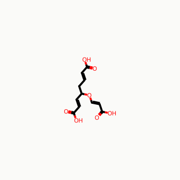 O=C(O)C=CCC(C=CC(=O)O)OC=CC(=O)O